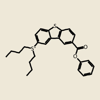 CCCC[S+](CCCC)c1ccc2sc3ccc(C(=O)Oc4ccccc4)cc3c2c1